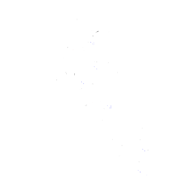 C[C@H](CO)NC(=O)c1c(-c2ccsc2)nc2c(C(=O)NCc3ccc4nc(N)sc4c3)cccn12